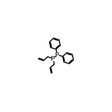 C=CCP(CC=C)P(c1ccccc1)c1ccccc1